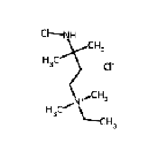 CC[N+](C)(C)CCC(C)(C)NCl.[Cl-]